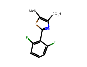 CNc1sc(-c2c(F)cccc2F)nc1C(=O)O